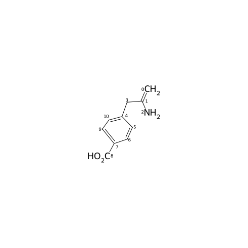 C=C(N)Cc1ccc(C(=O)O)cc1